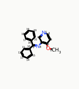 COc1c[c]ncc1N=C(c1ccccc1)c1ccccc1